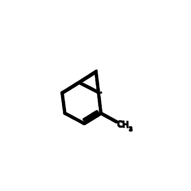 CC1=CCCC2C[C]12